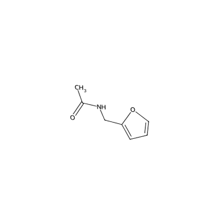 CC(=O)NCc1ccco1